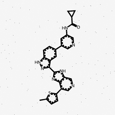 Cc1ccc(-c2cncc3[nH]c(-c4n[nH]c5ccc(-c6cncc(NC(=O)C7CC7)c6)cc45)nc23)s1